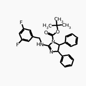 CC(C)(C)OC(=O)N1C(NCc2cc(F)cc(F)c2)=NC(c2ccccc2)C1c1ccccc1